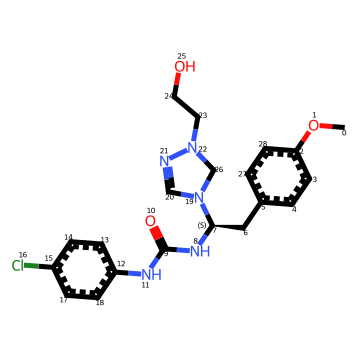 COc1ccc(C[C@@H](NC(=O)Nc2ccc(Cl)cc2)N2C=NN(CCO)C2)cc1